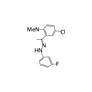 CNc1ccc(Cl)cc1/C(C)=N/Nc1cccc(F)c1